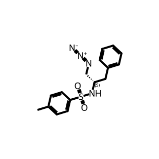 Cc1ccc(S(=O)(=O)N[C@H](CN=[N+]=[N-])Cc2ccccc2)cc1